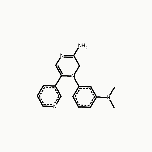 CN(C)c1cccc(N2CC(N)=NC=C2c2cccnc2)c1